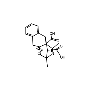 CC1=NC2(C)C(C(=O)O)C3c4ccccc4CC4(C=COC24)C13C(=O)O